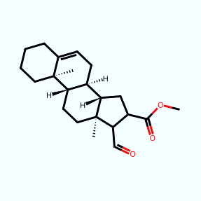 COC(=O)C1C[C@H]2[C@@H]3CC=C4CCCC[C@]4(C)[C@H]3CC[C@]2(C)C1C=O